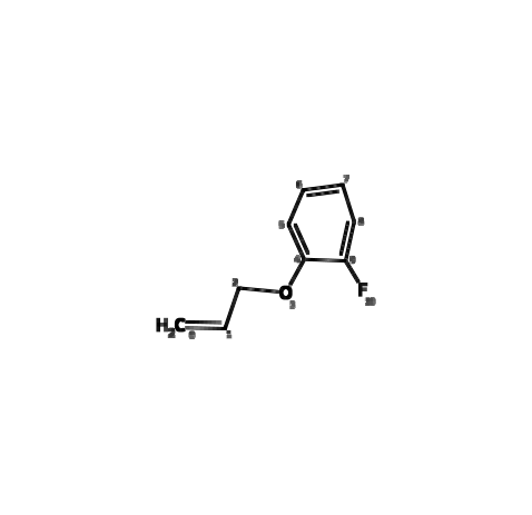 C=CCOc1ccccc1F